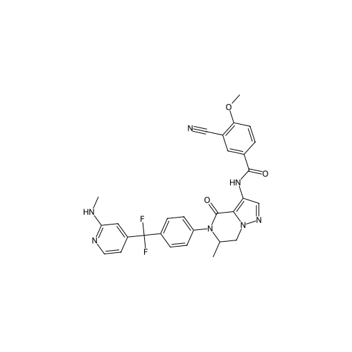 CNc1cc(C(F)(F)c2ccc(N3C(=O)c4c(NC(=O)c5ccc(OC)c(C#N)c5)cnn4CC3C)cc2)ccn1